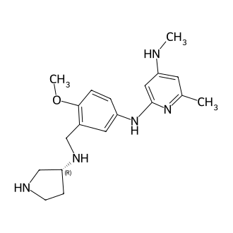 CNc1cc(C)nc(Nc2ccc(OC)c(CN[C@@H]3CCNC3)c2)c1